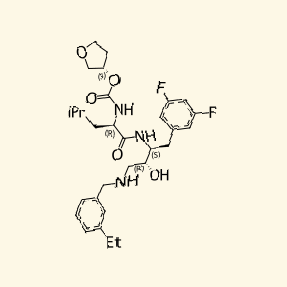 CCc1cccc(CNC[C@@H](O)[C@H](Cc2cc(F)cc(F)c2)NC(=O)[C@@H](CC(C)C)NC(=O)O[C@H]2CCOC2)c1